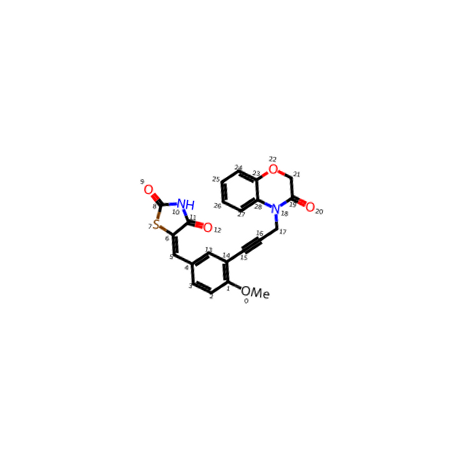 COc1ccc(C=C2SC(=O)NC2=O)cc1C#CCN1C(=O)COc2ccccc21